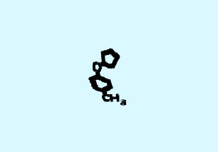 Cc1ccc(OC2CCCC2)cc1